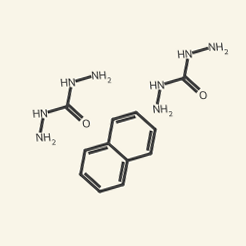 NNC(=O)NN.NNC(=O)NN.c1ccc2ccccc2c1